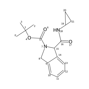 CC(C)(C)OC(=O)N1Cc2ccccc2C1C(=O)NC1CC1